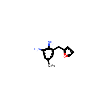 COc1cc(N)c(N)c(Cc2ccco2)c1